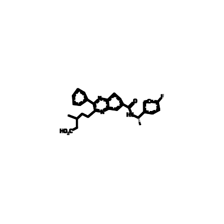 CC(CCc1nc2cc(C(=O)N[C@@H](C)c3ccc(F)cc3)ccc2nc1-c1ccccc1)CC(=O)O